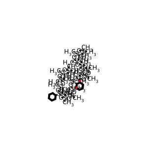 C[Si](C)(C)O[Si](C)(C)O[Si](C)(C)O[Si](C)(C)O[Si](C)(C)O[Si](C)(C)O[Si](C)(C)O[Si](C)(O[Si](C)(C)O[Si](C)(C)O[Si](C)(C)O[Si](C)(O[Si](C)(C)O[Si](C)(C)O[Si](C)(C)O[Si](C)(C)C)c1ccccc1)c1ccccc1